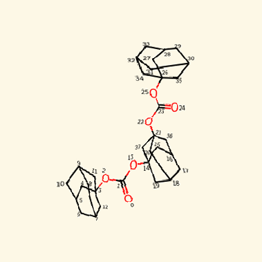 O=C(OC12CC3CC(CC(C3)C1)C2)OC12CC3CC(C1)CC(OC(=O)OC14CC5CC(CC(C5)C1)C4)(C3)C2